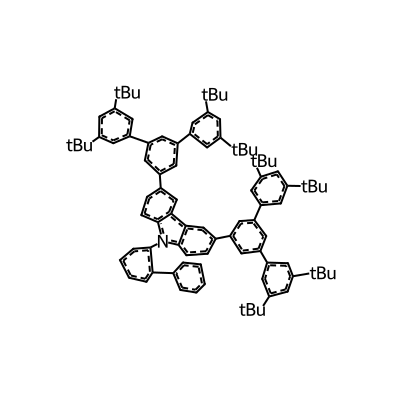 CC(C)(C)c1cc(-c2cc(-c3cc(C(C)(C)C)cc(C(C)(C)C)c3)cc(-c3ccc4c(c3)c3cc(-c5cc(-c6cc(C(C)(C)C)cc(C(C)(C)C)c6)cc(-c6cc(C(C)(C)C)cc(C(C)(C)C)c6)c5)ccc3n4-c3ccccc3-c3ccccc3)c2)cc(C(C)(C)C)c1